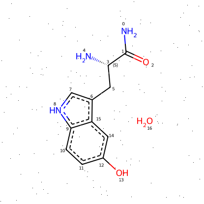 NC(=O)[C@@H](N)Cc1c[nH]c2ccc(O)cc12.O